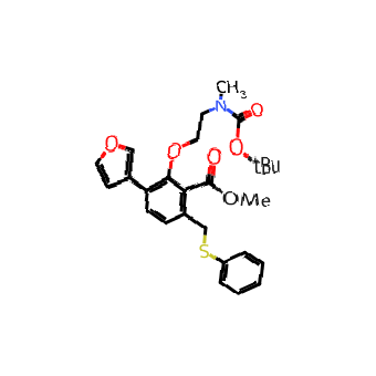 COC(=O)c1c(CSc2ccccc2)ccc(-c2ccoc2)c1OCCN(C)C(=O)OC(C)(C)C